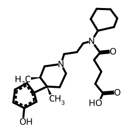 C[C@H]1CN(CCCN(C(=O)CCCC(=O)O)C2CCCCC2)CC[C@]1(C)c1cccc(O)c1